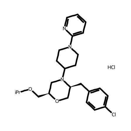 CC(C)OC[C@H]1CN(C2CCN(c3ccccn3)CC2)[C@@H](Cc2ccc(Cl)cc2)CO1.Cl